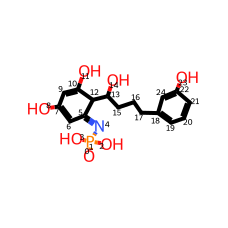 O=P(O)(O)N=C1C=C(O)C=C(O)C1C(O)CCCc1cccc(O)c1